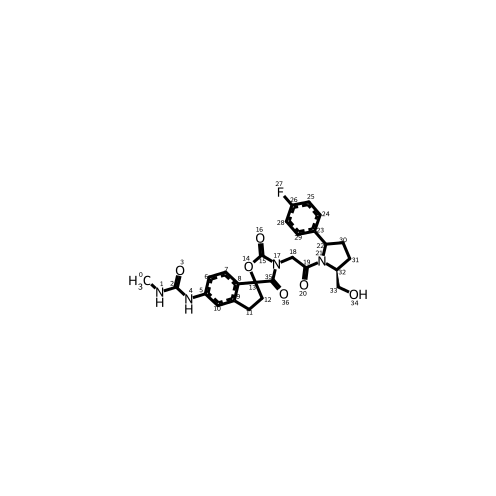 CNC(=O)Nc1ccc2c(c1)CCC21OC(=O)N(CC(=O)N2C(c3ccc(F)cc3)CC[C@H]2CO)C1=O